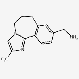 NCc1ccc2c(c1)CCCn1cc(C(F)(F)F)nc1-2